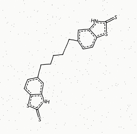 S=c1[nH]c2cc(CCCCCc3ccc4sc(=S)[nH]c4c3)ccc2s1